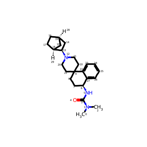 CN(C)C(=O)N[C@H]1CCC2(CCN([C@@H]3C[C@@H]4CC[C@H]3C4)CC2)c2ccccc21